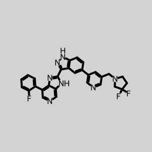 Fc1ccccc1-c1cncc2[nH]c(-c3n[nH]c4ccc(-c5cncc(CN6CCC(F)(F)C6)c5)cc34)nc12